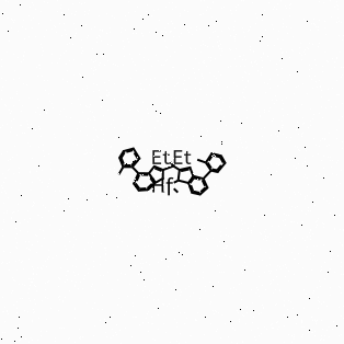 CCC1(CC)C2=Cc3c(-c4ccccc4C)cccc3[CH]2[Hf]([CH3])([CH3])[CH]2C1=Cc1c(-c3ccccc3C)cccc12